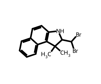 CC1(C)c2c(ccc3ccccc23)NC1C(Br)Br